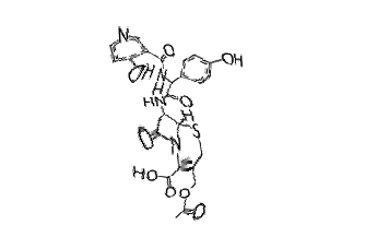 CC(=O)OCC1=C(C(=O)O)N2C(=O)C(NC(=O)C(NC(=O)c3cnccc3O)c3ccc(O)cc3)[C@@H]2SC1